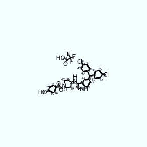 O=C(O)C(F)(F)F.O=S(=O)(c1ccc(O)cc1)N1CCC(Nc2n[nH]c3ccc(C(c4ccc(Cl)cc4)c4ccc(Cl)cc4)cc23)CC1